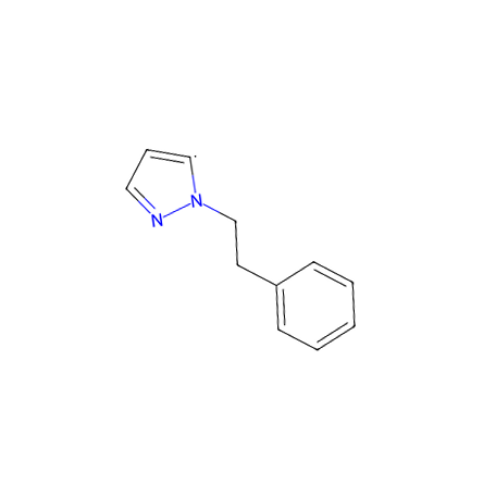 [c]1ccnn1CCc1ccccc1